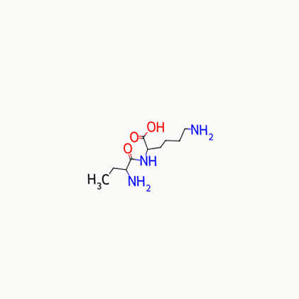 CCC(N)C(=O)NC(CCCCN)C(=O)O